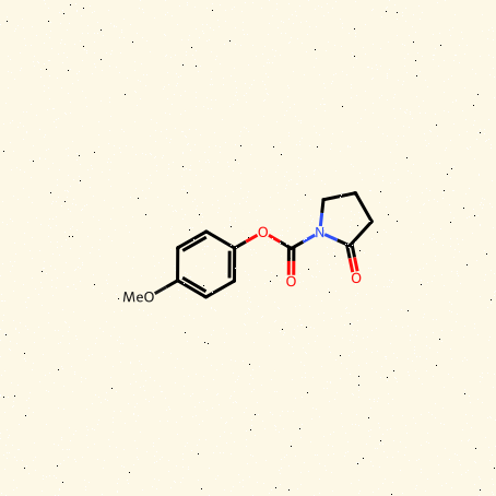 COc1ccc(OC(=O)N2CCCC2=O)cc1